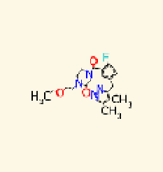 CCOCCN1CCN(C(=O)c2cc(Cc3nncc(C)c3C)ccc2F)CC1=O